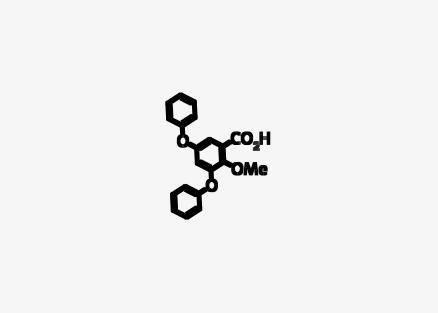 COc1c(Oc2ccccc2)cc(Oc2ccccc2)cc1C(=O)O